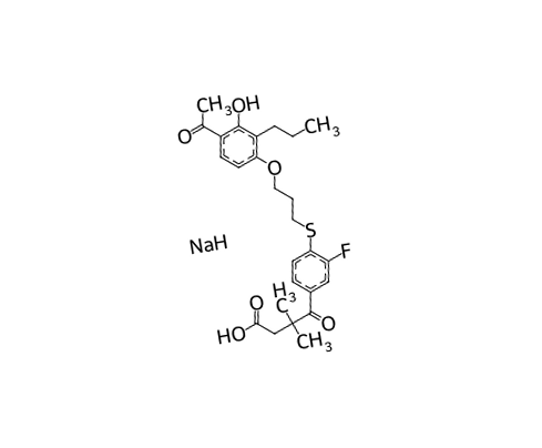 CCCc1c(OCCCSc2ccc(C(=O)C(C)(C)CC(=O)O)cc2F)ccc(C(C)=O)c1O.[NaH]